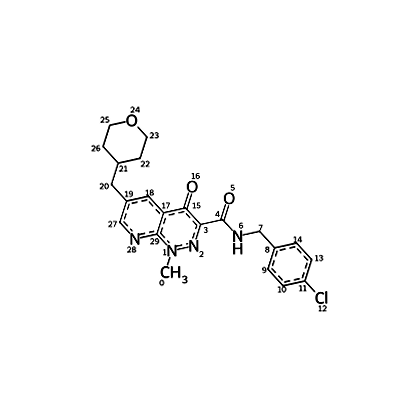 Cn1nc(C(=O)NCc2ccc(Cl)cc2)c(=O)c2cc(CC3CCOCC3)cnc21